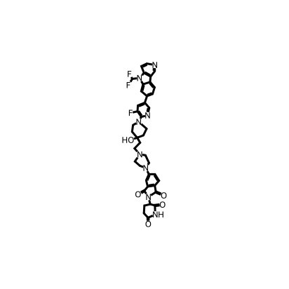 O=C1CCC(N2C(=O)c3ccc(N4CCN(CCC5(O)CCN(c6ncc(-c7ccc8c9cnccc9n(C(F)F)c8c7)cc6F)CC5)CC4)cc3C2=O)C(=O)N1